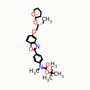 CC[C@H](COc1ccc2oc(-c3ccc(N(C)C(=O)OC(C)(C)C)cc3)nc2c1)OC1CCCCO1